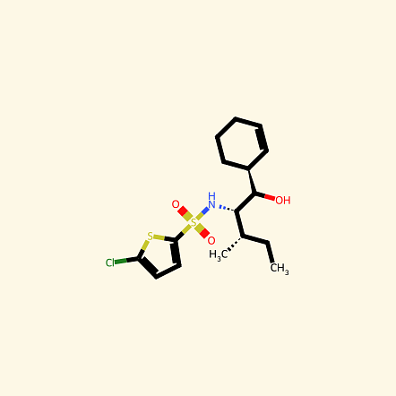 CC[C@H](C)[C@H](NS(=O)(=O)c1ccc(Cl)s1)C(O)[C@@H]1C=CCCC1